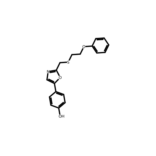 Oc1ccc(-c2cnc(CSCCOc3ccccc3)o2)cc1